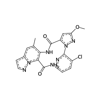 COc1cc(C(=O)Nc2c(C)cc3ccnn3c2C(N)=O)n(-c2ncccc2Cl)n1